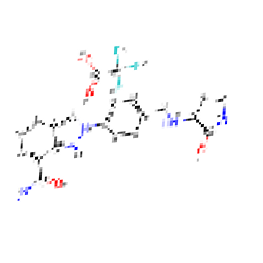 NC(=O)c1cccc2cn(-c3ccc(CNC4CCNC4=O)cc3)nc12.O=C(O)C(F)(F)F